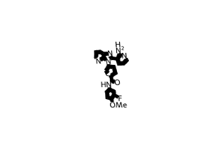 COc1ccc(NC(=O)c2ccc(-n3c(-c4cccnc4N)nc4cccnc43)cc2)cc1F